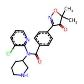 CC1(C)ON=C(c2ccc(C(=O)N(c3ncccc3Cl)C3CCCNC3)cc2)C1=O